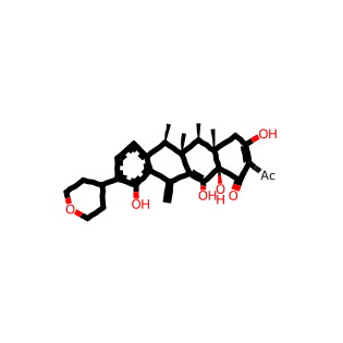 C=C1C2=C(O)[C@@]3(O)C(=O)C(C(C)=O)=C(O)C[C@@]3(C)[C@H](C)[C@@]2(C)[C@H](C)c2ccc(C3CCOCC3)c(O)c21